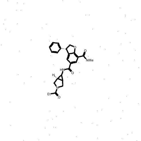 CCC(=O)N1CC2C(NC(=O)c3cc(C(=O)NC)c4c(c3)[C@H](c3ccccc3)CO4)[C@@H]2C1